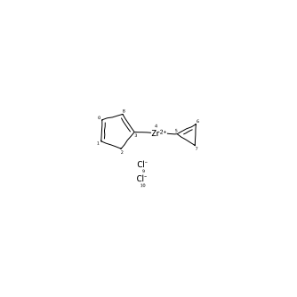 C1=CC[C]([Zr+2][C]2=CC2)=C1.[Cl-].[Cl-]